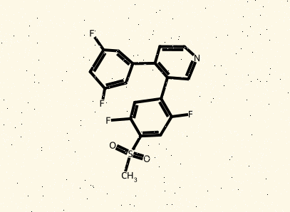 CS(=O)(=O)c1cc(F)c(-c2cnccc2-c2cc(F)cc(F)c2)cc1F